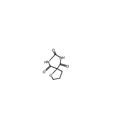 O=C1NC(=O)C2(CCCO2)C(=O)N1